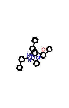 c1ccc(-c2ccc(-c3nc(-c4cccc(-c5ccccc5)c4)nc(-c4ccccc4-n4c5ccccc5c5c6oc7ccccc7c6ccc54)n3)cc2)cc1